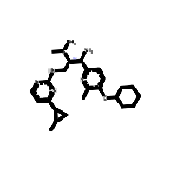 Cc1nc(/C(N)=C(\CNc2nccc(C3CC3C)n2)N(C)N)ccc1OC1CCCCC1